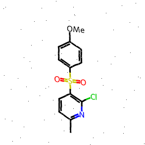 COc1ccc(S(=O)(=O)c2ccc(C)nc2Cl)cc1